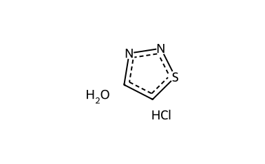 Cl.O.c1csnn1